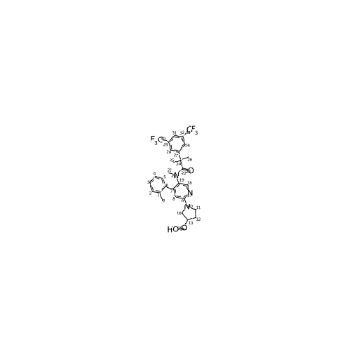 Cc1ccccc1-c1cc(N2CCC(OO)C2)ncc1N(C)C(=O)C(C)(C)c1cc(C(F)(F)F)cc(C(F)(F)F)c1